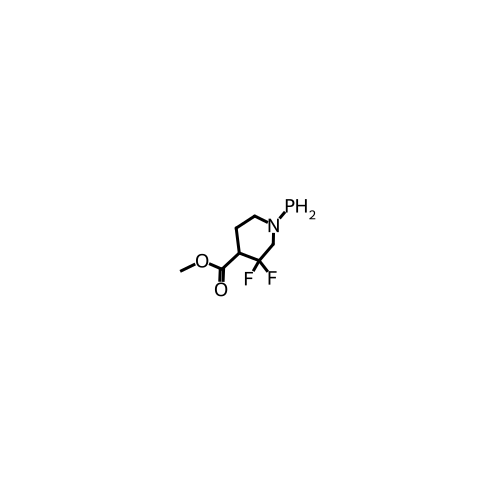 COC(=O)C1CCN(P)CC1(F)F